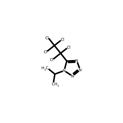 CC(C)n1nnnc1C(Cl)(Cl)C(Cl)(Cl)Cl